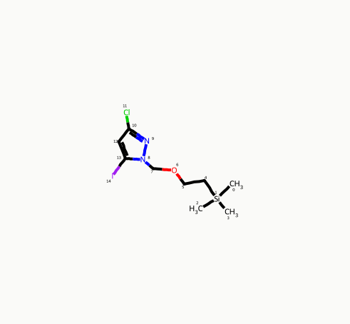 C[Si](C)(C)CCOCn1nc(Cl)cc1I